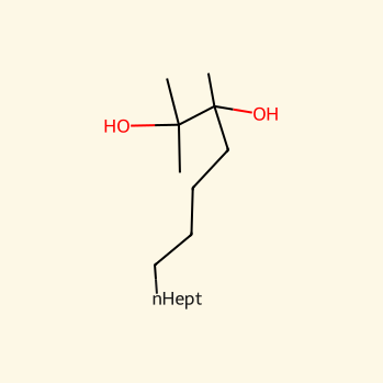 CCCCCCCCCCCC(C)(O)C(C)(C)O